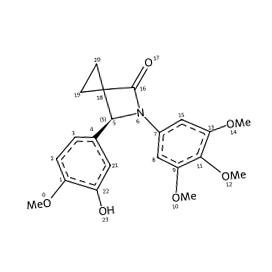 COc1ccc([C@@H]2N(c3cc(OC)c(OC)c(OC)c3)C(=O)C23CC3)cc1O